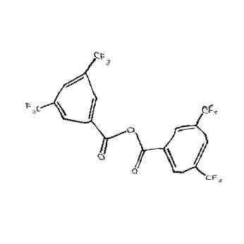 O=C(OC(=O)c1cc(C(F)(F)F)cc(C(F)(F)F)c1)c1cc(C(F)(F)F)cc(C(F)(F)F)c1